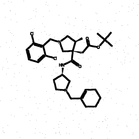 C[C@@H]1CN(Cc2c(Cl)cccc2Cl)C[C@]1(CC(=O)OC(C)(C)C)C(=O)N[C@H]1CCN(CC2=CCCCC2)C1